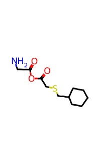 NCC(=O)OC(=O)CSCC1CCCCC1